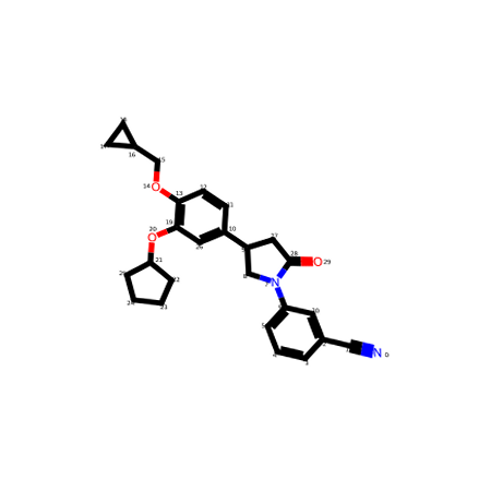 N#Cc1cccc(N2CC(c3ccc(OCC4CC4)c(OC4CCCC4)c3)CC2=O)c1